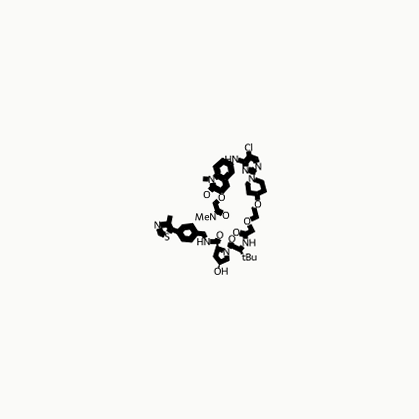 CNC(=O)COc1cc2cc(Nc3nc(N4CCC(OCCOCC(=O)N[C@H](C(=O)N5C[C@H](O)C[C@H]5C(=O)NCc5ccc(-c6scnc6C)cc5)C(C)(C)C)CC4)ncc3Cl)ccc2n(C)c1=O